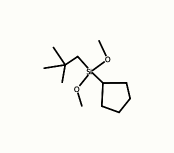 CO[Si](CC(C)(C)C)(OC)C1CCCC1